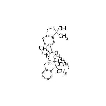 CCN(C(=O)c1ccc2c(c1)C(C)(O)CC2)[C@@H]1Cc2ccccc2C(C)(C)C1(C)C